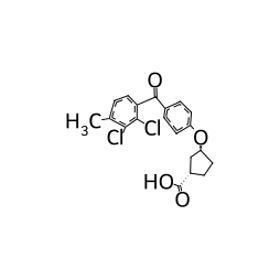 Cc1ccc(C(=O)c2ccc(O[C@H]3CC[C@H](C(=O)O)C3)cc2)c(Cl)c1Cl